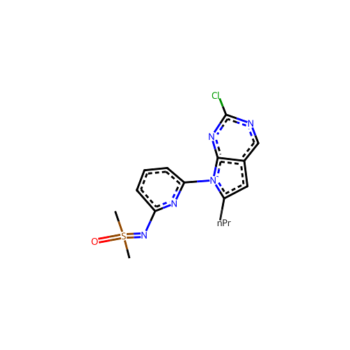 CCCc1cc2cnc(Cl)nc2n1-c1cccc(N=S(C)(C)=O)n1